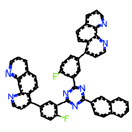 Fc1ccc(-c2ccnc3c2ccc2cccnc23)cc1-c1nc(-c2ccc3ccccc3c2)nc(-c2cc(-c3ccnc4c3ccc3cccnc34)ccc2F)n1